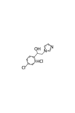 Cl.OC(Cn1ccnc1)c1ccc(Cl)cc1